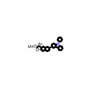 CO/C(C)=C(\C(C)=O)c1ccc2ccc(-c3ccc4c(c3)c3ccccc3n4-c3ccccc3)cc2c1